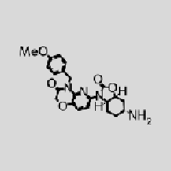 COc1ccc(CN2C(=O)COc3ccc(N4C(=O)O[C@H]5C[C@H](N)CC[C@H]54)nc32)cc1